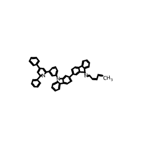 C\C=C/C=C\C=N\C1c2ccccc2-c2ccc(-c3ccc4c5ccccc5n(-c5cccc(-c6cc(-c7ccccc7)cc(-c7ccccc7)n6)c5)c4c3)cc21